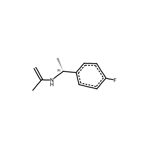 C=C(C)N[C@H](C)c1ccc(F)cc1